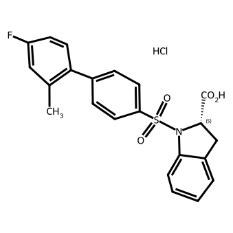 Cc1cc(F)ccc1-c1ccc(S(=O)(=O)N2c3ccccc3C[C@H]2C(=O)O)cc1.Cl